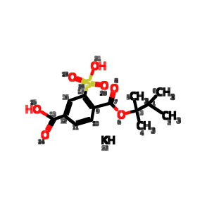 CC(C)C(C)(C)OC(=O)c1ccc(C(=O)O)cc1S(=O)(=O)O.[KH]